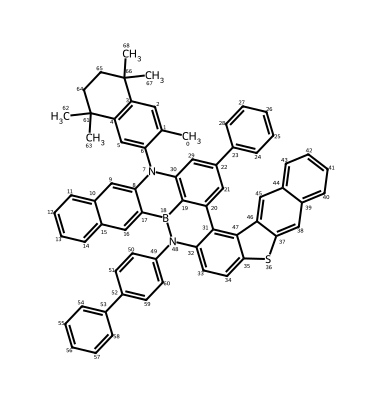 Cc1cc2c(cc1N1c3cc4ccccc4cc3B3c4c(cc(-c5ccccc5)cc41)-c1c(ccc4sc5cc6ccccc6cc5c14)N3c1ccc(-c3ccccc3)cc1)C(C)(C)CCC2(C)C